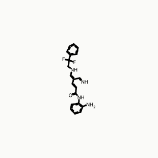 N=CC(=C\NCC(F)(F)c1ccccc1)/C=C/C(=O)Nc1ccccc1N